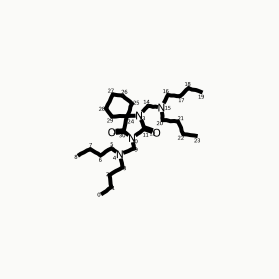 CCCCN(CCCC)CN1C(=O)N(CN(CCCC)CCCC)C2(CCCCC2)C1=O